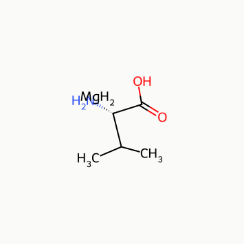 CC(C)[C@H](N)C(=O)O.[MgH2]